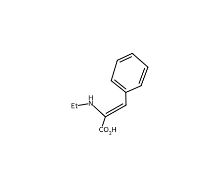 CCNC(=Cc1ccccc1)C(=O)O